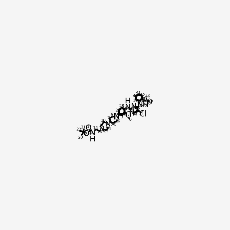 COc1cc(N2CCC(N3CCN(CCNC(=O)OC(C)(C)C)CC3)CC2)ccc1Nc1ncc(Cl)c(Nc2ccccc2P(C)(C)=O)n1